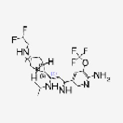 CC(C)N/C(=C\C(=N)c1cnc(N)c(OC(F)(F)F)c1)[C@H]1[C@@H]2C[C@H](NCC(F)F)C[C@@H]21